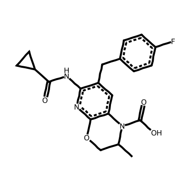 CC1COc2nc(NC(=O)C3CC3)c(Cc3ccc(F)cc3)cc2N1C(=O)O